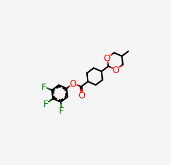 CC1COC(C2CCC(C(=O)Oc3cc(F)c(F)c(F)c3)CC2)OC1